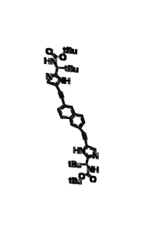 CC(C)(C)OC(=O)NC(c1ncc(C#Cc2ccc3cc(C#Cc4cnc(C(NC(=O)OC(C)(C)C)C(C)(C)C)[nH]4)ccc3c2)[nH]1)C(C)(C)C